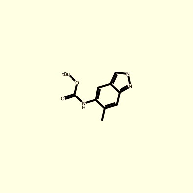 Cc1cc2c(cc1NC(=O)OC(C)(C)C)=C[N]N=2